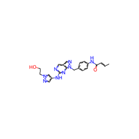 CC=CC(=O)Nc1ccc(Cn2ncc3cnc(Nc4cnn(CCO)c4)nc32)cc1